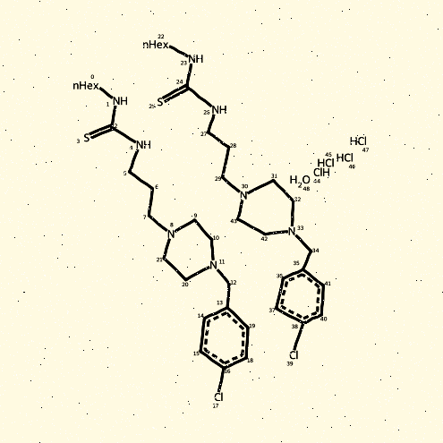 CCCCCCNC(=S)NCCCN1CCN(Cc2ccc(Cl)cc2)CC1.CCCCCCNC(=S)NCCCN1CCN(Cc2ccc(Cl)cc2)CC1.Cl.Cl.Cl.Cl.O